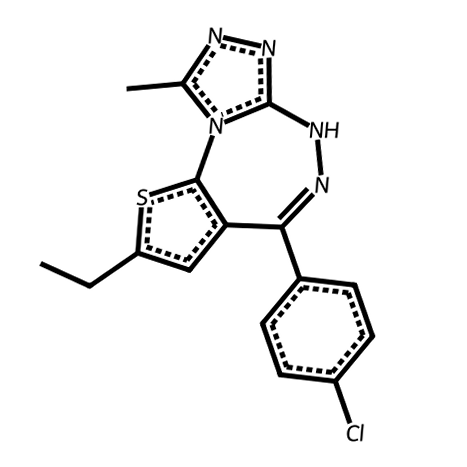 CCc1cc2c(s1)-n1c(C)nnc1NN=C2c1ccc(Cl)cc1